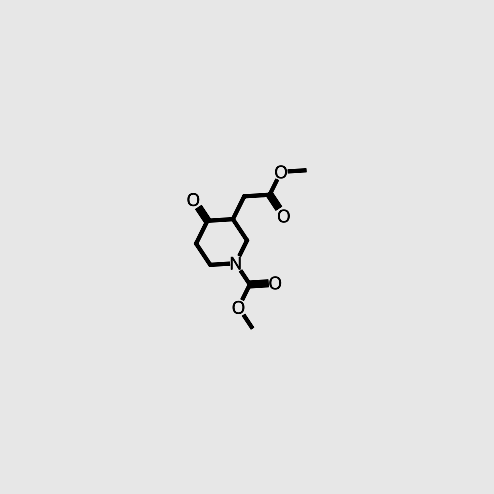 COC(=O)CC1CN(C(=O)OC)CCC1=O